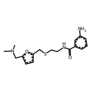 CN(C)Cc1ccc(CSCCNC(=O)c2cccc(N)c2)o1